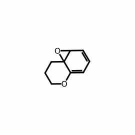 C1=CC2OC23CCCOC3=C1